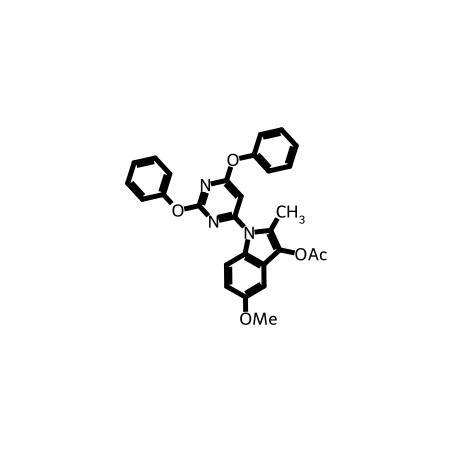 COc1ccc2c(c1)c(OC(C)=O)c(C)n2-c1cc(Oc2ccccc2)nc(Oc2ccccc2)n1